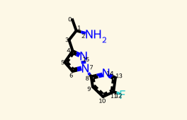 CC(N)Cc1ccn(-c2ccc(F)cn2)n1